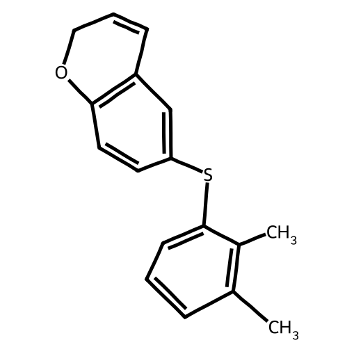 Cc1cccc(Sc2ccc3c(c2)C=CCO3)c1C